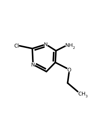 CCOc1cnc(Cl)nc1N